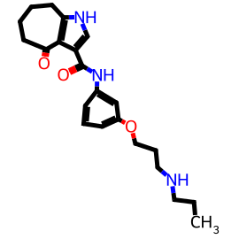 CCCNCCCOc1cccc(NC(=O)c2c[nH]c3c2C(=O)CCCC3)c1